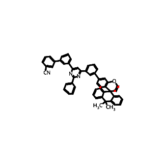 CC1(C)c2ccccc2C2(c3ccccc3Oc3cc(-c4cccc(-c5cc(-c6cccc(-c7cccc(C#N)c7)c6)nc(-c6ccccc6)n5)c4)ccc32)c2ccccc21